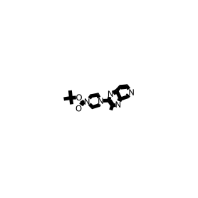 Cc1nc2cnccc2nc1N1CCN(C(=O)OC(C)(C)C)CC1